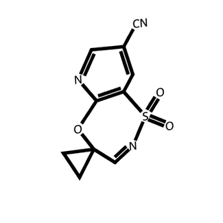 N#Cc1cnc2c(c1)S(=O)(=O)N=CC1(CC1)O2